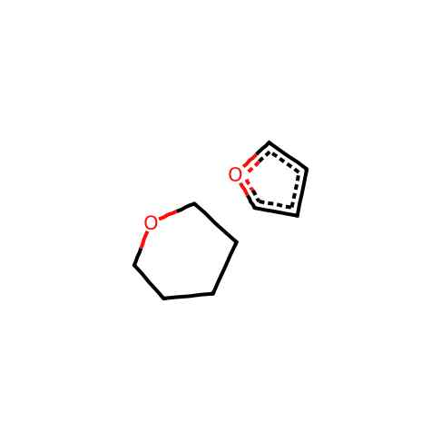 C1CCOCC1.c1ccoc1